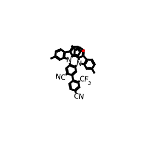 Cc1ccc2c3ccc(C)cc3n(-c3cc(C#N)c(-c4ccc(C#N)cc4C(F)(F)F)cc3-n3c4cc(C)ccc4c4ccc(C)cc43)c2c1